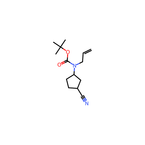 C=CCN(C(=O)OC(C)(C)C)C1CCC(C#N)C1